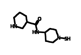 O=C(NC1CCN(S)CC1)C1CCCNC1